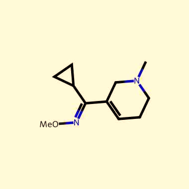 CON=C(C1=CCCN(C)C1)C1CC1